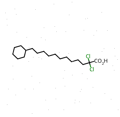 O=C(O)C(Cl)(Cl)CCCCCCCCCCC1CCCCC1